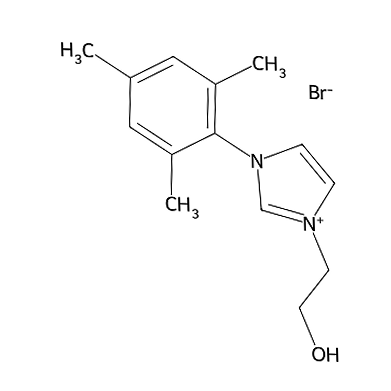 Cc1cc(C)c(-n2cc[n+](CCO)c2)c(C)c1.[Br-]